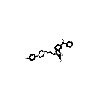 O=C(c1ccccc1)c1ccc2c(c1)oc(=O)n2CCCCN1CCN(c2ccc(F)cc2)CC1